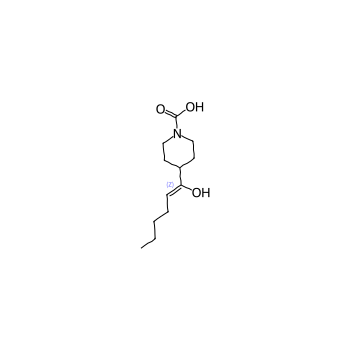 CCCC/C=C(\O)C1CCN(C(=O)O)CC1